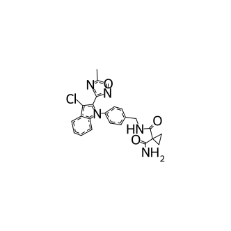 Cc1nc(-c2c(Cl)c3ccccc3n2-c2ccc(CNC(=O)C3(C(N)=O)CC3)cc2)no1